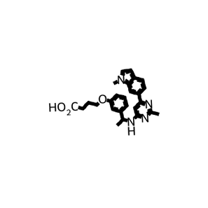 Cc1nc(NC(C)c2cccc(OCCCC(=O)O)c2)cc(-c2ccc3ccn(C)c3c2)n1